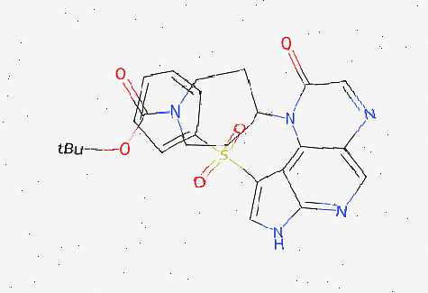 CC(C)(C)OC(=O)N1CCC(n2c(=O)cnc3cnc4[nH]cc(S(=O)(=O)c5ccccc5)c4c32)CC1